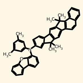 Cc1cc(C)cc(N(c2ccc3c(c2)C(C)(C)c2cc4c(cc2-3)C(C)(C)c2c-4ccc3ccccc23)c2cccc3c2oc2ccccc23)c1